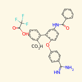 N=C(N)c1ccc(Oc2ccc(NC(=O)c3ccccc3)cc2-c2ccccc2C(=O)O)cc1.O=C(O)C(F)(F)F